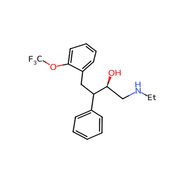 CCNC[C@H](O)C(Cc1ccccc1OC(F)(F)F)c1ccccc1